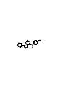 CCc1ccc(Nc2nccn3c(-c4ccccc4)cnc23)cc1